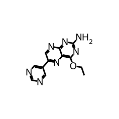 CCOc1nc(N)nc2ncc(-c3cncnc3)nc12